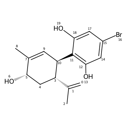 C=C(C)[C@@H]1C[C@H](O)C(C)=C[C@H]1c1c(O)cc(Br)cc1O